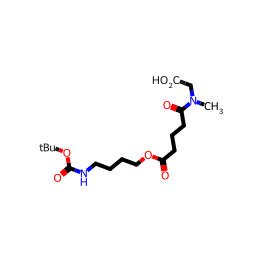 CN(CC(=O)O)C(=O)CCCC(=O)OCCCCNC(=O)OC(C)(C)C